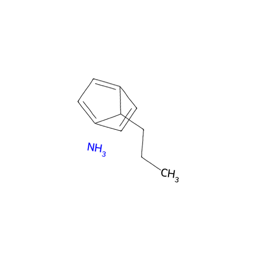 CCCC1C2=CC=C1C=C2.N